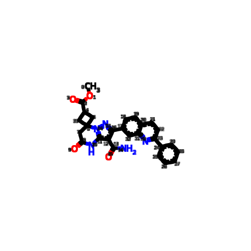 COC(=O)C1CC2(CC(=O)Nc3c(C(N)=O)c(-c4ccc5ccc(-c6ccccc6)nc5c4)nn32)C1